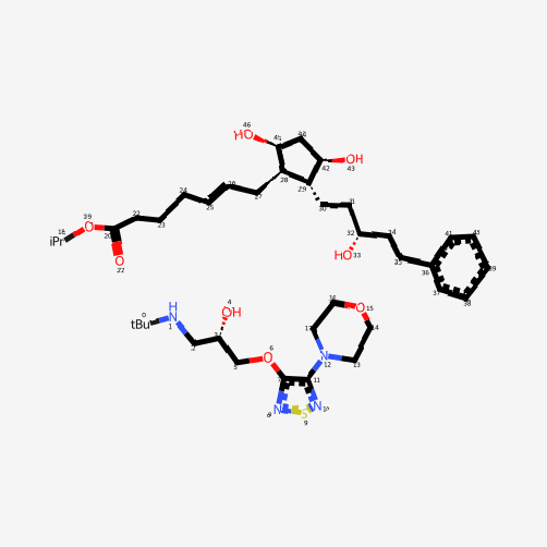 CC(C)(C)NC[C@H](O)COc1nsnc1N1CCOCC1.CC(C)OC(=O)CCC/C=C/C[C@@H]1[C@@H](CC[C@@H](O)CCc2ccccc2)[C@H](O)C[C@@H]1O